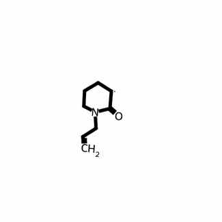 C=CCN1CCC[CH]C1=O